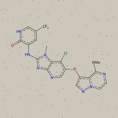 CNc1nccn2ncc(Oc3cnc4nc(Nc5cc(C(F)(F)F)c[nH]c5=O)n(C)c4c3Cl)c12